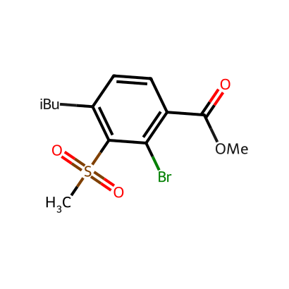 CCC(C)c1ccc(C(=O)OC)c(Br)c1S(C)(=O)=O